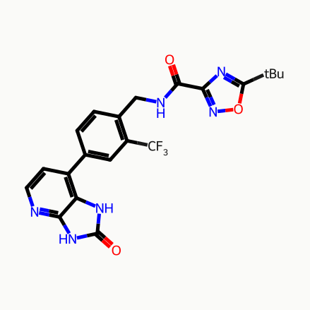 CC(C)(C)c1nc(C(=O)NCc2ccc(-c3ccnc4[nH]c(=O)[nH]c34)cc2C(F)(F)F)no1